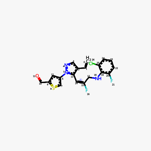 C=Cc1cnn(-c2csc(C=O)c2)c1/C=C(/F)CNc1c(F)cccc1Cl